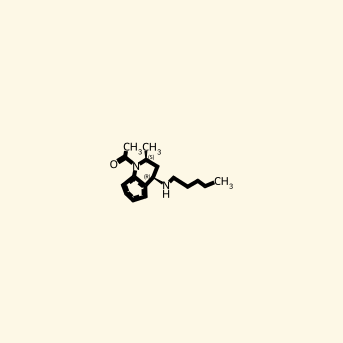 CCCCCN[C@@H]1C[C@H](C)N(C(C)=O)c2ccccc21